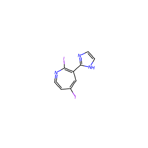 IC1=CC(c2ncc[nH]2)=C(I)N=C=C1